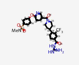 CNS(=O)(=O)c1ccc(Oc2ccc(C(=O)N3CCC(c4ccc(C(=O)NC(=N)N)cc4C(F)(F)F)CC3)cn2)cc1